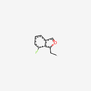 [CH2]Cc1occ2cccc(F)c12